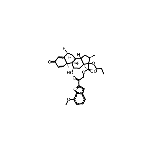 CCC(=O)O[C@]1(C(=O)OCC(=O)c2cc3cccc(OC)c3o2)[C@H](C)C[C@H]2[C@@H]3C[C@H](F)C4=CC(=O)C=C[C@]4(C)[C@@]3(F)[C@@H](O)C[C@@]21C